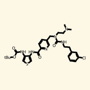 CN(C)CCN(Cc1ccc(C(=O)Nc2cscc2NC(=O)OC(C)(C)C)nc1)C(=O)NCCc1cccc(Cl)c1